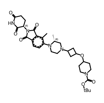 Cc1c(N2CCN(C3CC(OC4CCN(C(=O)OC(C)(C)C)CC4)C3)C[C@H]2C)ccc2c1C(=O)N([C@@H]1CCC(=O)NC1=O)C2=O